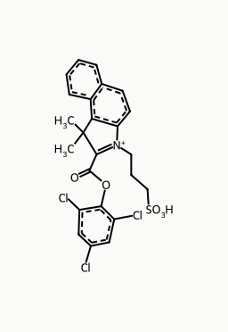 CC1(C)C(C(=O)Oc2c(Cl)cc(Cl)cc2Cl)=[N+](CCCS(=O)(=O)O)c2ccc3ccccc3c21